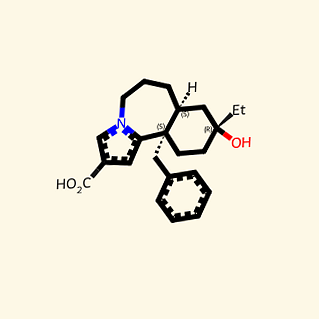 CC[C@@]1(O)CC[C@@]2(Cc3ccccc3)c3cc(C(=O)O)cn3CCC[C@H]2C1